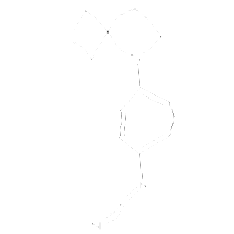 [N-]=[N+]=Nc1ccc(N2CCC23COC3)cc1